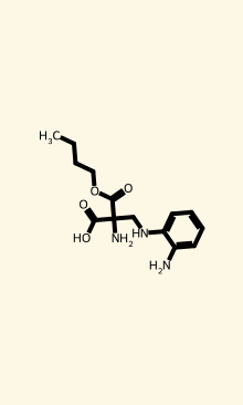 CCCCOC(=O)C(N)(CNc1ccccc1N)C(=O)O